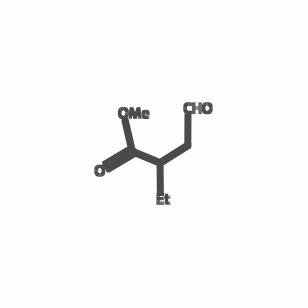 CCC(CC=O)C(=O)OC